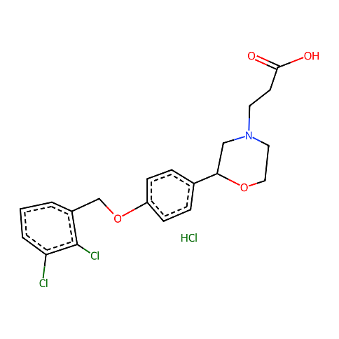 Cl.O=C(O)CCN1CCOC(c2ccc(OCc3cccc(Cl)c3Cl)cc2)C1